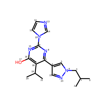 CC(C)Cn1cc(-c2nc(-n3ccnc3)nc(O)c2C(C)C)cn1